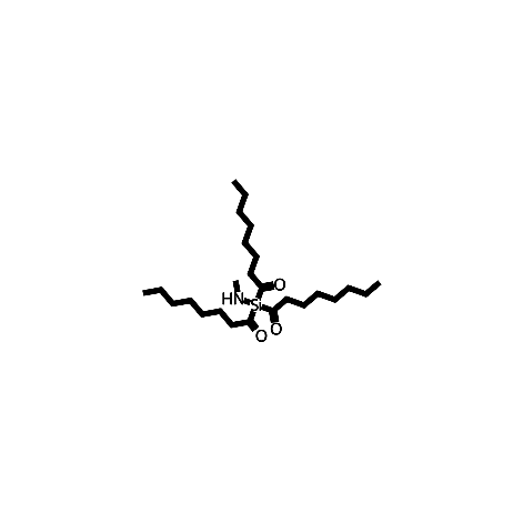 CCCCCCCC(=O)[Si](NC)(C(=O)CCCCCCC)C(=O)CCCCCCC